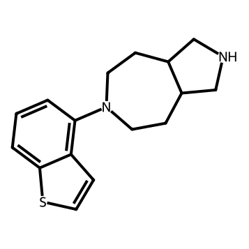 c1cc(N2CCC3CNCC3CC2)c2ccsc2c1